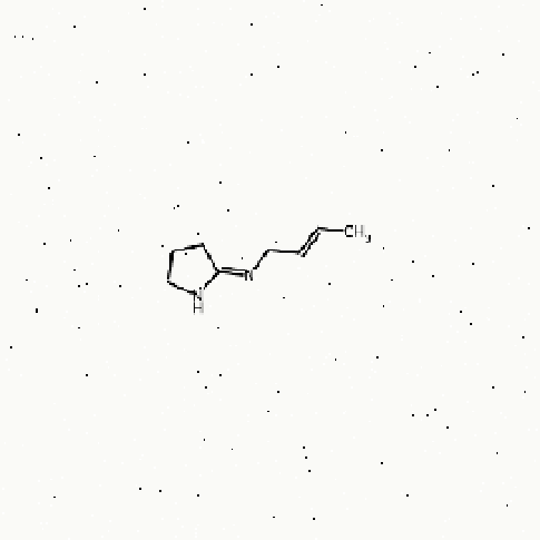 C/C=C/C/N=C1\CCCN1